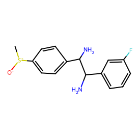 C[S+]([O-])c1ccc(C(N)C(N)c2cccc(F)c2)cc1